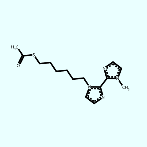 CC(=O)SCCCCCCn1ccnc1-c1nccn1C